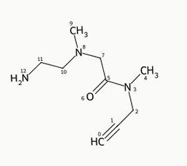 C#CCN(C)C(=O)CN(C)CCN